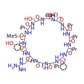 C/C=C1\NC(=O)[C@H](C(C)C)NC(=O)[C@H](Cc2ccccc2)NC(=O)[C@H](C(C)C)NC(=O)[C@H](C(C)C)NC(=O)[C@@H](C(C)C)NC(=O)[C@H]([C@H](C)O)NC(=O)[C@H]([C@@H](C)CC)NC(=O)[C@@H]([C@@H](C)O)NC(=O)[C@H](C(C)C)NC(=O)[C@H](CCSC)NC(=O)[C@H](Cc2ccc(O)cc2)NC(=O)[C@H](CCCNC(=N)N)NC1=O